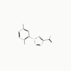 O=C(Cl)c1cn(-c2cc(Cl)ccc2Cl)nn1